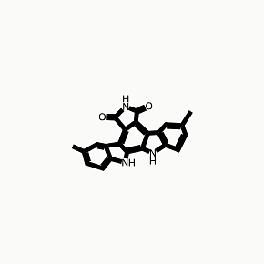 Cc1ccc2[nH]c3c4[nH]c5ccc(C)cc5c4c4c(c3c2c1)C(=O)NC4=O